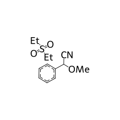 CCS(=O)(=O)CC.COC(C#N)c1ccccc1